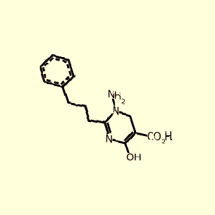 NN1CC(C(=O)O)=C(O)N=C1CCCc1ccccc1